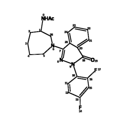 CC(=O)NC1CCCCN(c2nn(-c3ccc(F)cc3F)c(=O)c3ccccc23)C1